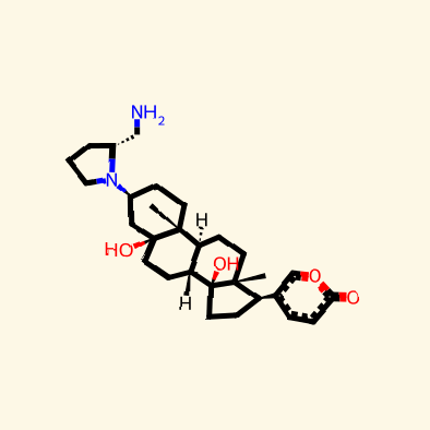 C[C@]12CC[C@H](N3CCC[C@@H]3CN)C[C@@]1(O)CC[C@@H]1[C@@H]2CC[C@]2(C)[C@@H](c3ccc(=O)oc3)CC[C@]12O